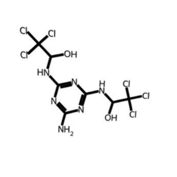 Nc1nc(NC(O)C(Cl)(Cl)Cl)nc(NC(O)C(Cl)(Cl)Cl)n1